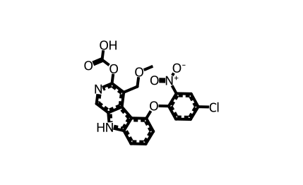 COCc1c(OC(=O)O)ncc2[nH]c3cccc(Oc4ccc(Cl)cc4[N+](=O)[O-])c3c12